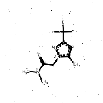 Cc1cc(C(F)(F)F)nn1CC(=O)N(C)C